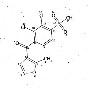 Cc1oncc1C(=O)c1ccc(S(C)(=O)=O)c(Cl)c1Cl